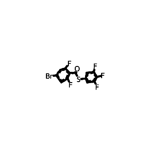 O=C(Sc1cc(F)c(F)c(F)c1)c1c(F)cc(Br)cc1F